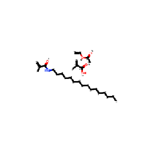 C=C(C)C(=O)NCCCCCCCCCCCCCCCC.C=C(C)C(=O)O.C=COC(C)=O